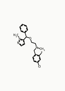 CN(CCOC(c1ccccc1)c1ccnn1C)Cc1ccc(Cl)cc1F